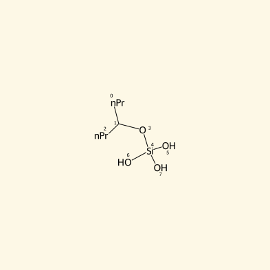 CCCC(CCC)O[Si](O)(O)O